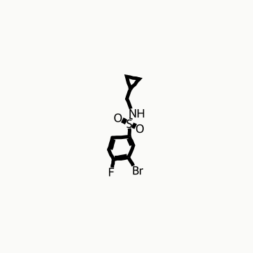 O=S(=O)(NCC1CC1)c1ccc(F)c(Br)c1